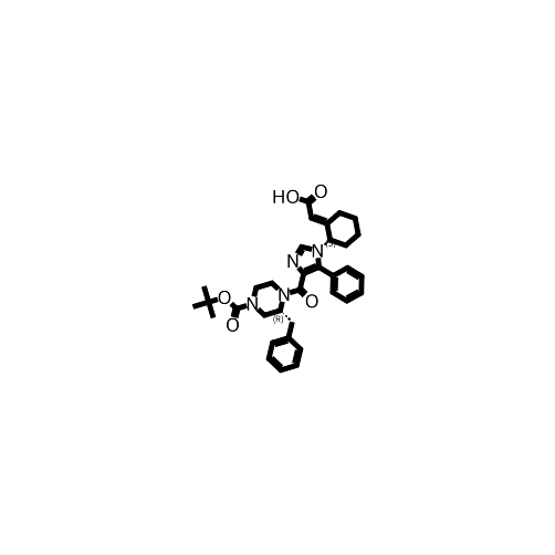 CC(C)(C)OC(=O)N1CCN(C(=O)c2ncn([C@H]3CCCCC3=CC(=O)O)c2-c2ccccc2)[C@H](Cc2ccccc2)C1